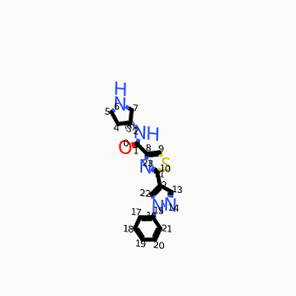 O=C(N[C@@H]1CCNC1)c1csc(-c2cnn(-c3ccccc3)c2)n1